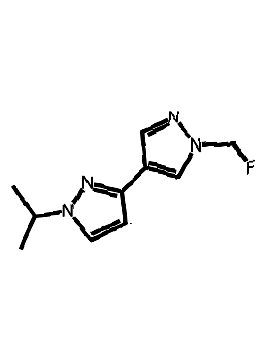 CC(C)n1c[c]c(-c2cnn(CF)c2)n1